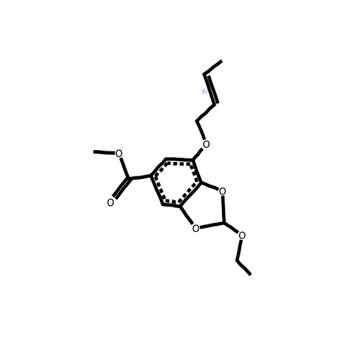 C/C=C/COc1cc(C(=O)OC)cc2c1OC(OCC)O2